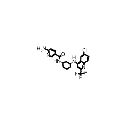 Nc1ccc(C(=O)N[C@@H]2CCC[C@H](Nc3cc(C(F)(F)F)nc4ccc(Cl)cc34)C2)cn1